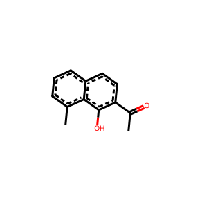 CC(=O)c1ccc2cccc(C)c2c1O